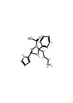 CC(C)(C)C(=O)N1N=C(c2cccs2)OC1(CCCN)c1ccccc1